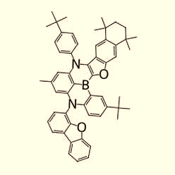 Cc1cc2c3c(c1)N(c1cccc4c1oc1ccccc14)c1ccc(C(C)(C)C)cc1B3c1oc3cc4c(cc3c1N2c1ccc(C(C)(C)C)cc1)C(C)(C)CCC4(C)C